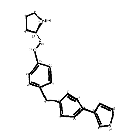 c1cc(-c2ccc(Cc3ccc(OC[C@@H]4CCCN4)cc3)cc2)cs1